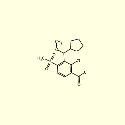 COC(c1c(S(C)(=O)=O)ccc(C(=O)Cl)c1Cl)C1CCCO1